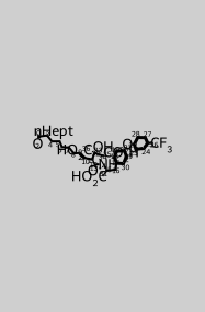 CCCCCCCC(=O)CCCCCC/C=C/[C@H](C(=O)N[C@@H](Cc1ccc(Oc2ccc(C(F)(F)F)cc2)cc1)C(=O)O)[C@@](O)(CC(=O)O)C(=O)O